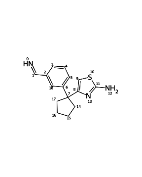 N=Cc1cccc(C2(c3csc(N)n3)CCCC2)c1